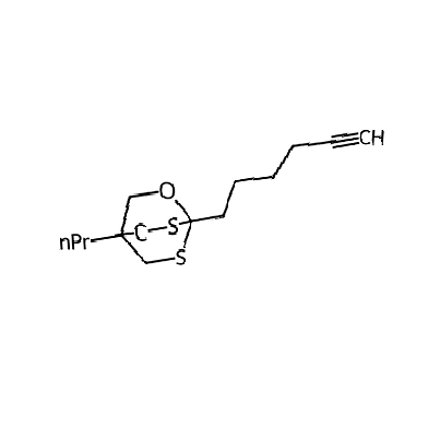 C#CCCCCC12OCC(CCC)(CS1)CS2